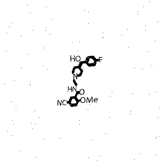 COc1ccc(C#N)cc1C(=O)NCCN1CCC(=C(O)c2ccc(F)cc2)CC1